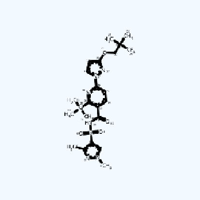 Cc1nn(C)cc1S(=O)(=O)NC(=O)c1ccc(-n2ccc(OCC(C)(C)C(F)(F)F)n2)nc1[Si](C)(C)C